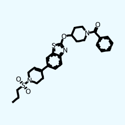 CCCS(=O)(=O)N1CC=C(c2ccc3nc(OC4CCN(C(=O)c5ccccc5)CC4)sc3c2)CC1